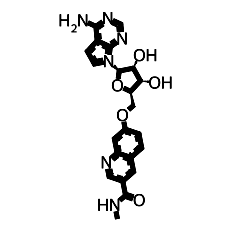 CNC(=O)c1cnc2cc(OC[C@H]3O[C@@H](n4ccc5c(N)ncnc54)[C@H](O)[C@@H]3O)ccc2c1